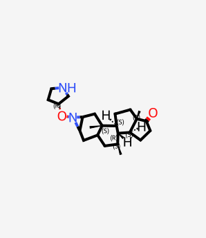 C[C@H]1CC2CC3C(C[C@]2(C)[C@H]2CC[C@]4(C)C(=O)CC[C@H]4[C@H]12)N3O[C@@H]1CCNC1